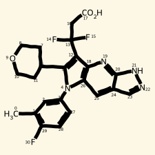 Cc1cc(-n2c(C3CCOCC3)c(C(F)(F)CC(=O)O)c3nc4[nH]ncc4cc32)ccc1F